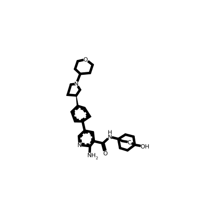 Nc1ncc(-c2ccc([C@H]3CCN(C4CCOCC4)C3)cc2)cc1C(=O)NC12CCC(O)(CC1)CC2